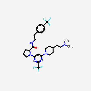 CN(C)CCC1CCN(c2cc(N3CCC[C@H]3C(=O)NCCc3ccc(C(F)(F)F)cc3)nc(C(F)(F)F)n2)CC1